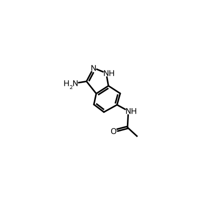 CC(=O)Nc1ccc2c(N)n[nH]c2c1